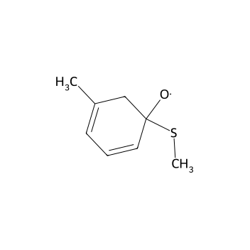 CSC1([O])C=CC=C(C)C1